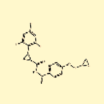 C[C@@H](NC(=O)C1CC1c1c(F)cc(F)cc1F)c1ccc(OCC2CC2)cn1